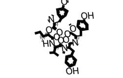 CC[C@@H](C)[C@@H](OC(=O)[C@H](Cc1ccc(OC)cc1)N(C)C)C(=O)N[C@@H](C(=O)N(C)C(Cc1ccc(O)cc1)C(=O)N(C)[C@H](Cc1ccc(O)cc1)C(=O)OC)C(C)C